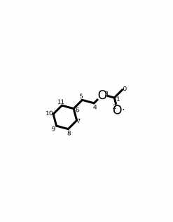 CC([O])OCCC1CCCCC1